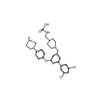 O=C(O)NCC1CCN(Cc2cc(Oc3ccc(N4CCNCC4)nc3)nc(-c3cc(Cl)cc(Cl)c3)c2)CC1